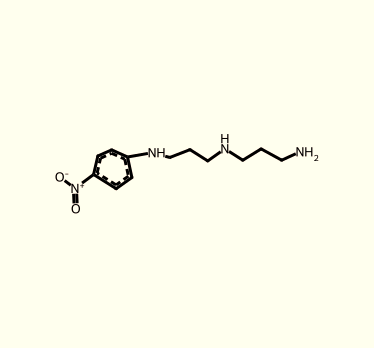 NCCCNCCCNc1ccc([N+](=O)[O-])cc1